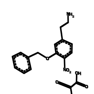 NCCc1ccc([N+](=O)[O-])c(OCc2ccccc2)c1.O=C(O)C(=O)O